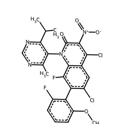 COc1cccc(F)c1-c1c(Cl)cc2c(Cl)c([N+](=O)[O-])c(=O)n(-c3c(C)ncnc3C(C)C)c2c1F